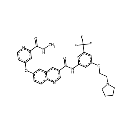 CNC(=O)c1cc(Oc2ccc3ncc(C(=O)Nc4cc(OCCN5CCCC5)cc(C(F)(F)F)c4)cc3c2)ccn1